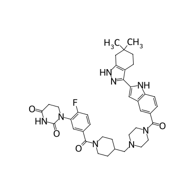 CC1(C)CCc2c(-c3cc4cc(C(=O)N5CCN(CC6CCN(C(=O)c7ccc(F)c(N8CCC(=O)NC8=O)c7)CC6)CC5)ccc4[nH]3)n[nH]c2C1